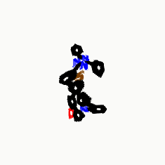 c1ccc(-c2nc(-c3ccccc3)nc(-c3cccc4c3sc3ccc(-c5ccc6oc7cccc(-n8c9ccccc9c9ccccc98)c7c6c5)cc34)n2)cc1